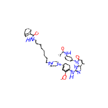 COc1cc(N2CCN(CCCCCCCCNC(=O)C3CC4CCC3C4)CC2)ccc1Nc1ncc2c(C)cc(=O)n(-c3cccc(NC(=O)C4CC4)c3)c2n1